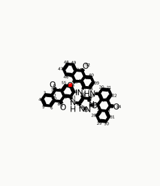 O=C1c2ccccc2C(=O)c2c(Nc3nnnc(Nc4cccc5c4C(=O)c4ccccc4C5=O)c3Nc3cccc4c3C(=O)c3ccccc3C4=O)cccc21